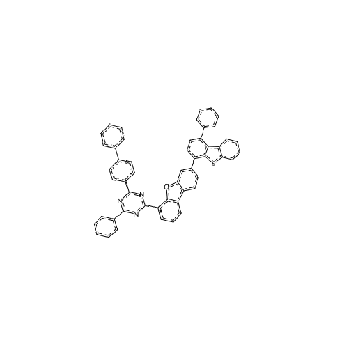 c1ccc(-c2ccc(-c3nc(-c4ccccc4)nc(-c4cccc5c4oc4cc(-c6ccc(-c7ccccc7)c7c6sc6ccccc67)ccc45)n3)cc2)cc1